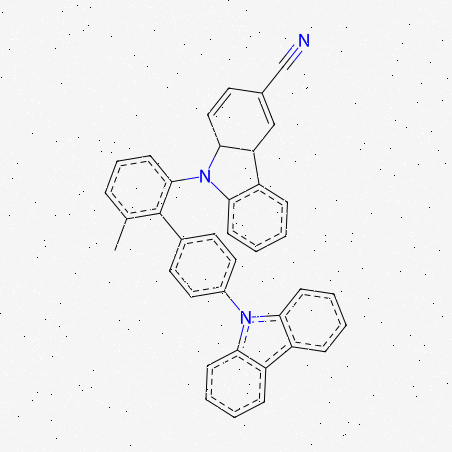 Cc1cccc(N2c3ccccc3C3C=C(C#N)C=CC32)c1-c1ccc(-n2c3ccccc3c3ccccc32)cc1